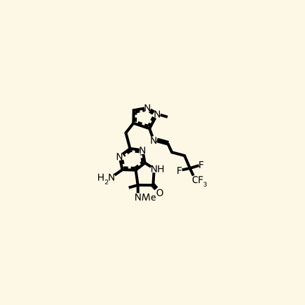 CNC1(C)C(=O)Nc2nc(Cc3cnn(C)c3/N=C/CCC(F)(F)C(F)(F)F)nc(N)c21